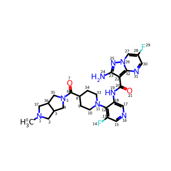 CN1CC2CN(C(=O)C3CCN(c4c(F)cncc4NC(=O)c4c(N)nn5cc(F)cnc45)CC3)CC2C1